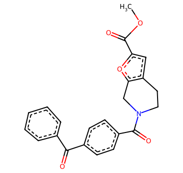 COC(=O)c1cc2c(o1)CN(C(=O)c1ccc(C(=O)c3ccccc3)cc1)CC2